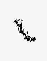 COC(=O)CCNC(=O)c1nc(NC(=O)c2nc(NC(=O)CCNC(=O)c3nc(NC(=O)c4nccn4C)cn3C)cn2C)cn1C